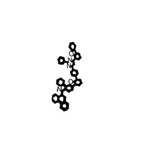 C1=CC2=c3ccccc3=CC(c3nc4c(c5c3ccc3c6cccc(-c7ccc(-c8cc(-c9cccc%10c9oc9ccccc9%10)nc(-c9ccccc9)n8)cc7)c6oc35)CCC=C4)C2C=C1